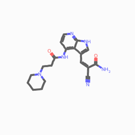 N#CC(=Cc1c[nH]c2nccc(NC(=O)CCN3CCCCC3)c12)C(N)=O